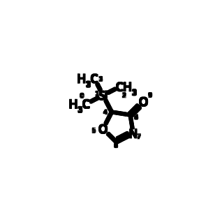 C[Si](C)(C)C1OC=NC1=O